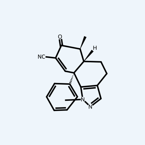 C[C@@H]1C(=O)C(C#N)=C[C@]2(c3ccccc3)c3c(cnn3C)CC[C@@H]12